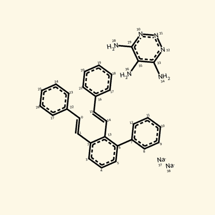 C(=Cc1cccc(-c2ccccc2)c1C=Cc1ccccc1)c1ccccc1.Nc1nnnc(N)c1N.[Na].[Na]